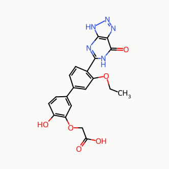 CCOc1cc(-c2ccc(O)c(OCC(=O)O)c2)ccc1-c1nc2[nH]nnc2c(=O)[nH]1